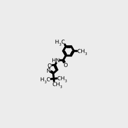 Cc1cc(C)cc(C(=O)Nc2cc(C(C)(C)C)no2)c1